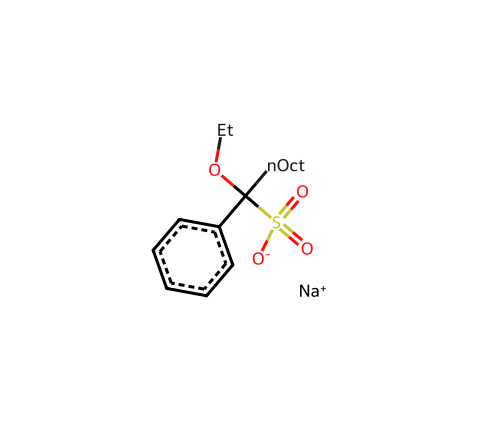 CCCCCCCCC(OCC)(c1ccccc1)S(=O)(=O)[O-].[Na+]